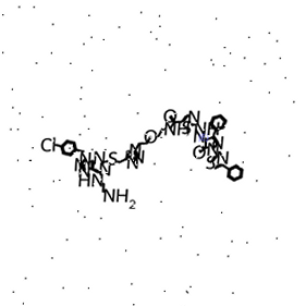 NCCNc1nc(SCc2cn(CCOCCNC(=O)c3cnc(N/N=C4/C(=O)N(c5nc(-c6ccccc6)cs5)N=C4c4ccccc4)s3)nn2)nc2c1nnn2Cc1ccc(Cl)cc1